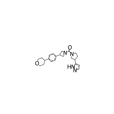 O=C(N1CC(c2ccc(C3CCOCC3)cc2)C1)N1CCC(c2ccn[nH]2)C1